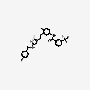 Cc1ccc(NC(=O)c2cccc(C(F)(F)F)c2)cc1CCc1cc(NC(=O)c2ccc(F)cc2)n[nH]1